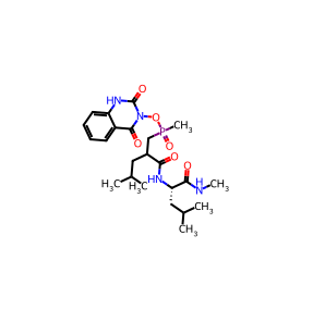 CNC(=O)[C@H](CC(C)C)NC(=O)C(CC(C)C)CP(C)(=O)On1c(=O)[nH]c2ccccc2c1=O